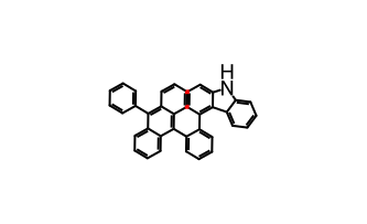 c1ccc(-c2c3ccccc3c(-c3ccccc3-c3cccc4[nH]c5ccccc5c34)c3ccccc23)cc1